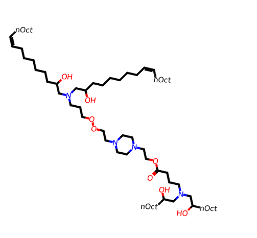 CCCCCCCC/C=C\CCCCCCC(O)CN(CCCOOCCN1CCN(CCOC(=O)CCCN(CC(O)CCCCCCCC)CC(O)CCCCCCCC)CC1)CC(O)CCCCCC/C=C\CCCCCCCC